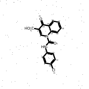 O=C(O)c1cn(C(=O)Nc2ccc(Cl)cc2)c2ccccc2c1=O